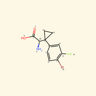 N[C@@H](C(=O)O)C1(c2ccc(Br)c(F)c2)CC1